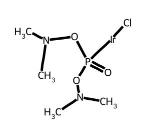 CN(C)O[P](=O)(ON(C)C)[Ir][Cl]